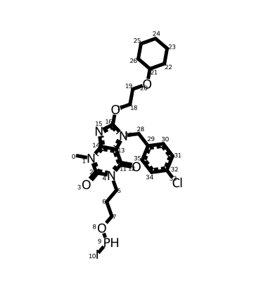 Cn1c(=O)n(CCCOPI)c(=O)c2c1nc(OCCOC1CCCCC1)n2Cc1ccc(Cl)cc1